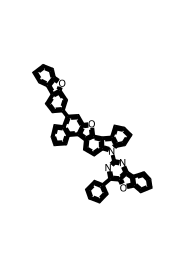 c1ccc(-c2nc(-n3c4ccccc4c4c5oc6cc(-c7ccc8c(c7)oc7ccccc78)c7ccccc7c6c5ccc43)nc3c2oc2ccccc23)cc1